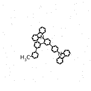 Cc1cccc(-c2cccc(-c3cc(-c4ccc(-n5c6ccccc6c6ccccc65)cc4)ccc3-n3c4ccccc4c4ccccc43)c2)c1